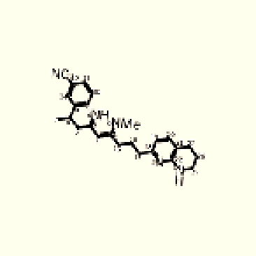 CN/C(=C\C(=N)CC(C)c1cccc(C#N)c1)CCCc1ccc2c(n1)NCCC2